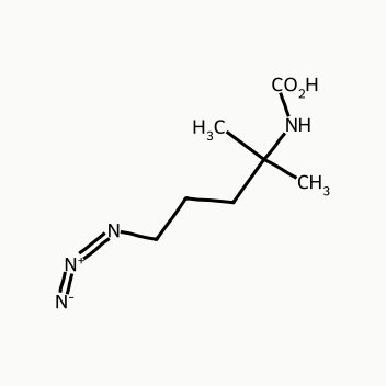 CC(C)(CCCN=[N+]=[N-])NC(=O)O